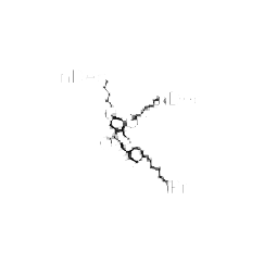 CCCCCCCCCCCCCCCOc1cc(OCCCCCCCCCCCCCCC)c2c(c1)C(=O)C(=Cc1ccc(CCCCCC(C)C)cc1)S2